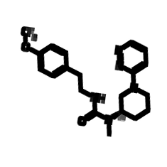 CN(C(=O)NCCc1ccc(OC(F)(F)F)cc1)[C@@H]1CCCN(c2cccnn2)C1